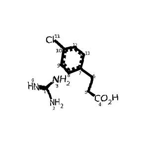 N=C(N)N.O=C(O)CCc1ccc(Cl)cc1